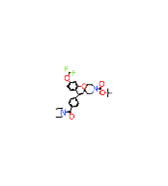 CCN(CC)C(=O)c1ccc(C2=CC3(CCN(C(=O)OC(C)(C)C)CC3)Oc3cc(OC(F)F)ccc32)cc1